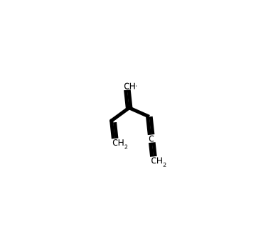 [CH]=C(C=C)C=C=C